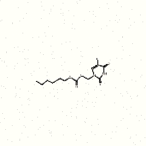 CCCCCCOC(=O)OCn1cc(F)c(=O)[nH]c1=O